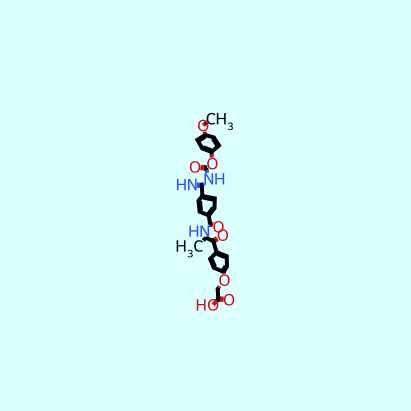 COc1ccc(OC(=O)NC(=N)c2ccc(C(=O)NC(C)C(=O)c3ccc(OCC(=O)O)cc3)cc2)cc1